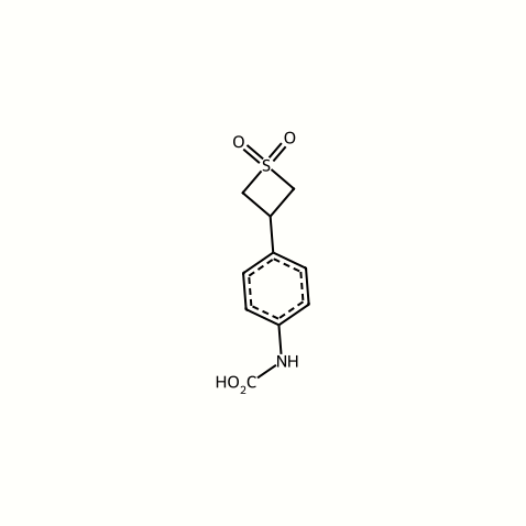 O=C(O)Nc1ccc(C2CS(=O)(=O)C2)cc1